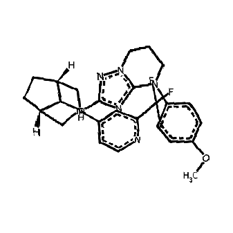 COc1ccc(N2CCCn3nc(NC4[C@@H]5CC[C@H]4CN(c4ccnc(C(F)(F)F)c4)C5)nc32)cc1